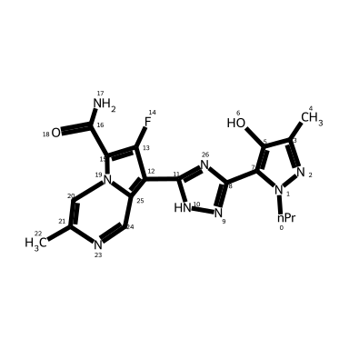 CCCn1nc(C)c(O)c1-c1n[nH]c(-c2c(F)c(C(N)=O)n3cc(C)ncc23)n1